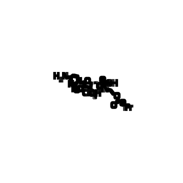 CC(C)OC(=O)OCCNP(=O)(O)OC[C@H]1O[C@@H](n2ccc(N)nc2=O)[C@](C)(O)[C@@H]1O